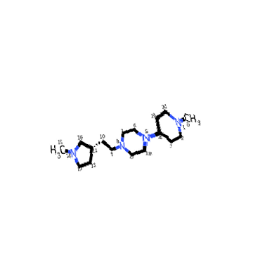 CN1CCC(N2CCN(CC[C@@H]3CCN(C)C3)CC2)CC1